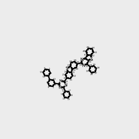 c1ccc(-c2cccc(-c3nc(-c4ccccc4)nc(-c4ccc5c(c4)sc4ccc(-c6nc(-c7ccccc7)c7sc8ccccc8c7n6)cc45)n3)c2)cc1